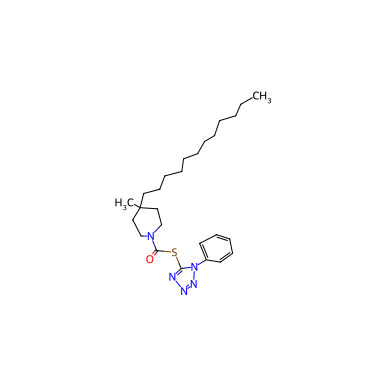 CCCCCCCCCCCCC1(C)CCN(C(=O)Sc2nnnn2-c2ccccc2)CC1